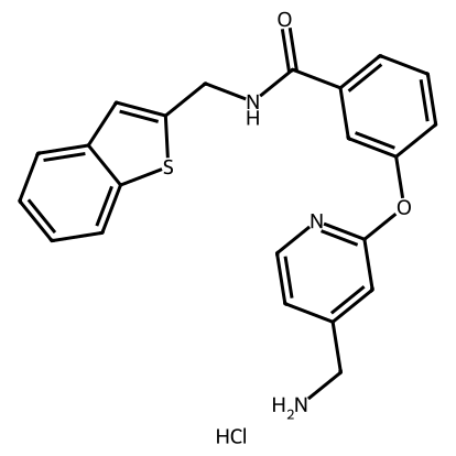 Cl.NCc1ccnc(Oc2cccc(C(=O)NCc3cc4ccccc4s3)c2)c1